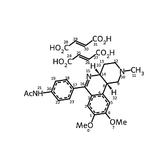 COc1cc2c(cc1OC)[C@H]1CN(C)CC[C@H]1N=C2c1ccc(NC(C)=O)cc1.O=C(O)/C=C/C(=O)O.O=C(O)/C=C/C(=O)O